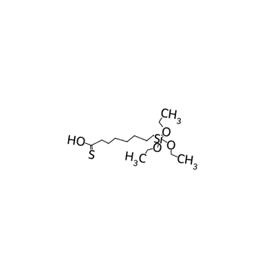 CCO[Si](CCCCCCCC(O)=S)(OCC)OCC